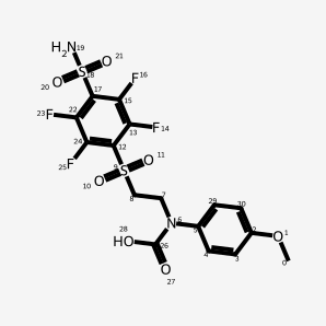 COc1ccc(N(CCS(=O)(=O)c2c(F)c(F)c(S(N)(=O)=O)c(F)c2F)C(=O)O)cc1